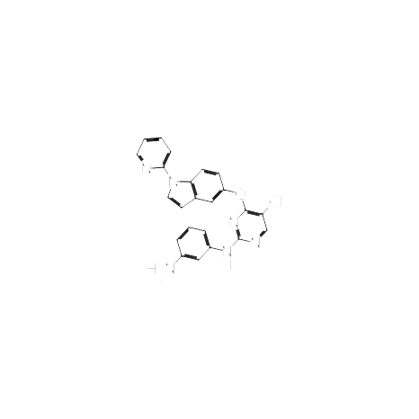 Nc1cccc(Nc2ncc(Cl)c(Oc3ccc4c(ccn4-c4ccccn4)c3)n2)c1